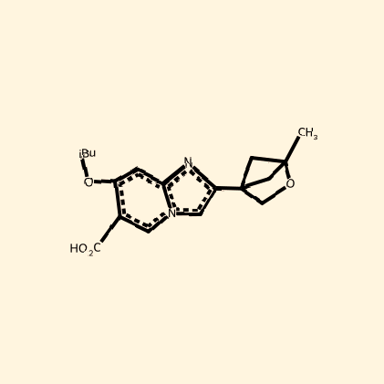 CCC(C)Oc1cc2nc(C34COC(C)(C3)C4)cn2cc1C(=O)O